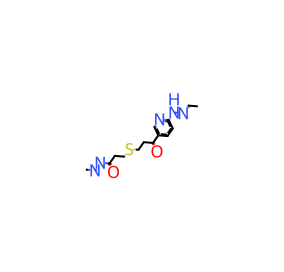 C/C=N/Nc1ccc(C(=O)CCSCCC(=O)/N=N/C)cn1